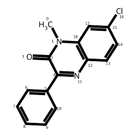 Cn1c(=O)c(-c2ccccc2)nc2ccc(Cl)cc21